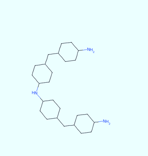 NC1CCC(CC2CCC(NC3CCC(CC4CCC(N)CC4)CC3)CC2)CC1